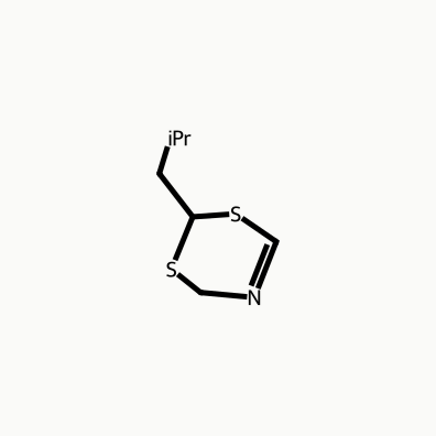 CC(C)CC1SC=NCS1